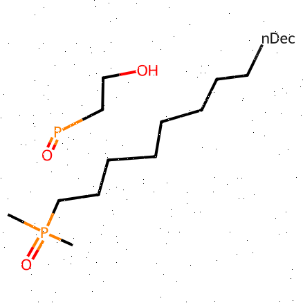 CCCCCCCCCCCCCCCCCCP(C)(C)=O.O=PCCO